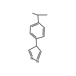 CC(C)c1ccc(C2C=NN=C2)cc1